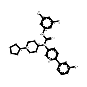 N#Cc1cccc(-c2ccc(N(C(=O)Nc3cc(Cl)cc(Cl)c3)C3CCN(C4CCCC4)CC3)cn2)c1